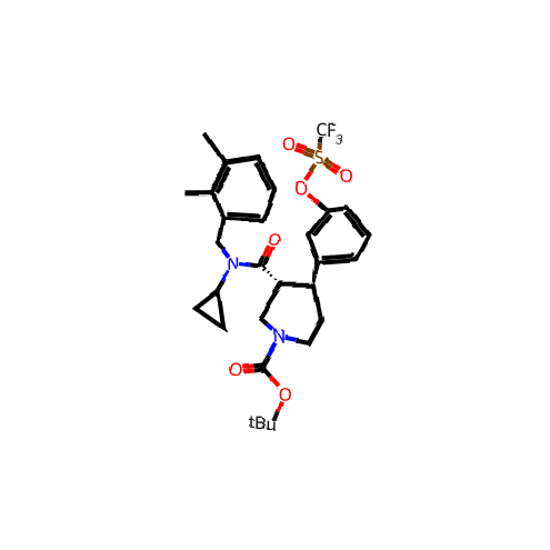 Cc1cccc(CN(C(=O)[C@H]2CN(C(=O)OC(C)(C)C)CC[C@@H]2c2cccc(OS(=O)(=O)C(F)(F)F)c2)C2CC2)c1C